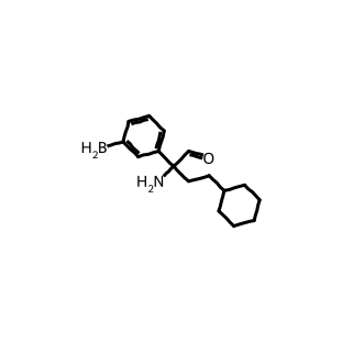 Bc1cccc(C(N)(C=O)CCC2CCCCC2)c1